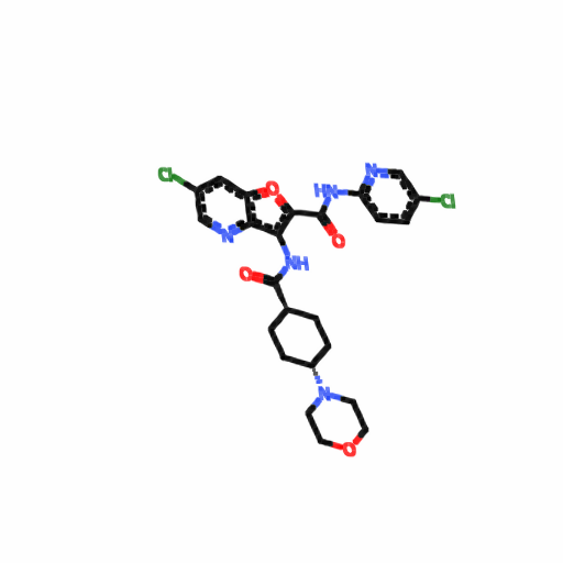 O=C(Nc1ccc(Cl)cn1)c1oc2cc(Cl)cnc2c1NC(=O)[C@H]1CC[C@H](N2CCOCC2)CC1